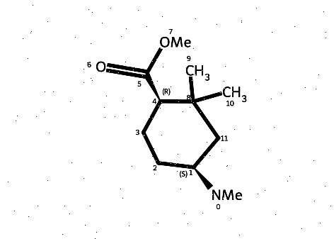 CN[C@H]1CC[C@@H](C(=O)OC)C(C)(C)C1